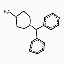 CN1CCN(C(c2ccccc2)c2ccncc2)CC1